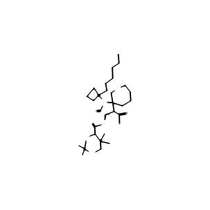 CCCCCCC1(N(C(N)=O)C2(C(CNC(=O)C3OC(C)(C)OCC3(C)C)C(=O)O)CCCCCC2)CCC1